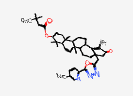 CC(C)C1=C2C3CCC4C(C)(CCC5C(C)(C)C(OC(=O)CC(C)(C)C=O)CCC54C)C3CCC2(Cc2nnc(-c3ccc(C#N)cn3)o2)CC1=O